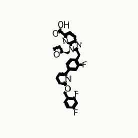 O=C(O)c1ccc2nc(Cc3ccc(-c4cccc(OCc5ccc(F)cc5F)n4)cc3F)n(C[C@@H]3CCO3)c2n1